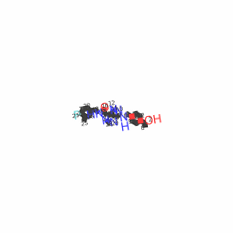 C=C(O)C12CCC(CNc3nn(C)c4c(C(=O)NCc5ccc(F)c(C)c5)ncnc34)(CC1)CC2